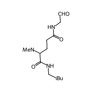 CCC(C)CNC(=O)C(CCC(=O)NCC=O)NC